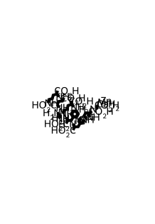 N=C(N)NCCCC(N)C(=O)O.NC(CCC(=O)O)C(=O)O.NC(Cc1c[nH]cn1)C(=O)O.NC(Cc1ccccc1)C(=O)O.NCC(=O)O.NCCCC(N)C(=O)O.O=C(O)C1CCCN1.[CaH2].[Mn].[Zn]